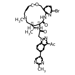 CC(=O)c1nn(CC(=O)N2[C@H](C)[C@@H]3C[C@H]2C(=O)Nc2nc(Br)ccc2COCC=CCN(C)C3)c2ccc(-c3cnc(C)nc3)cc12